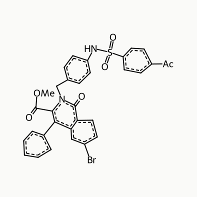 COC(=O)c1c(-c2ccccc2)c2cc(Br)ccc2c(=O)n1Cc1ccc(NS(=O)(=O)c2ccc(C(C)=O)cc2)cc1